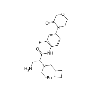 CC(C)(C)CN(CC1CCC1)[C@H](CN)C(=O)Nc1ccc(N2CCOCC2=O)cc1F